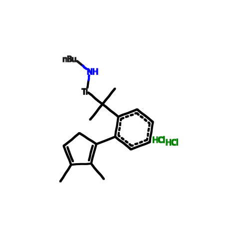 CCCC[NH][Ti][C](C)(C)c1ccccc1C1=C(C)C(C)=CC1.Cl.Cl